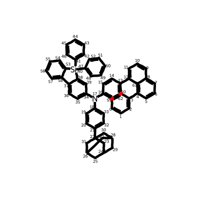 c1ccc(-c2cccc3cccc(-c4ccc(N(c5ccc(C67CC8CC(CC(C8)C6)C7)cc5)c5ccc6c(c5)[Si](c5ccccc5)(c5ccccc5)c5ccccc5-6)cc4)c23)cc1